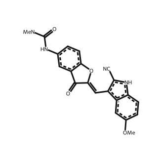 CNC(=O)Nc1ccc2c(c1)C(=O)/C(=C/c1c(C#N)[nH]c3ccc(OC)cc13)O2